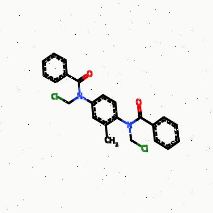 Cc1cc(N(CCl)C(=O)c2ccccc2)ccc1N(CCl)C(=O)c1ccccc1